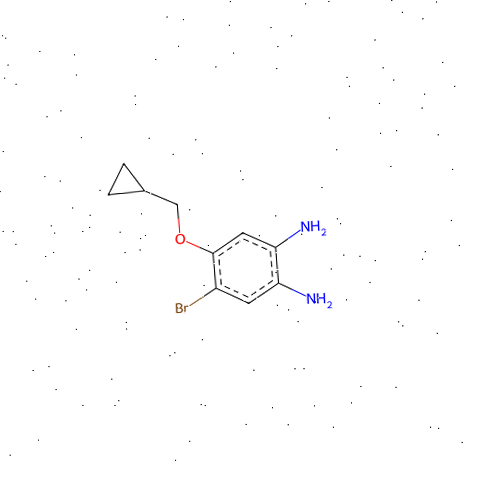 Nc1cc(Br)c(OCC2CC2)cc1N